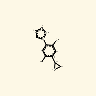 Cc1cc(-n2cnnn2)c(C#N)cc1C1CO1